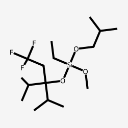 CC[Si](OC)(OCC(C)C)OC(CC(F)(F)F)(C(C)C)C(C)C